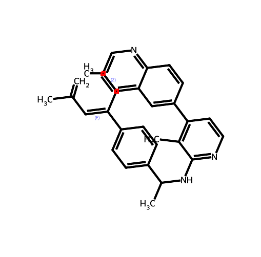 C=C(C)/C=C(\C=C/C)c1ccc(C(C)Nc2nccc(-c3ccc4ncccc4c3)c2C)cc1